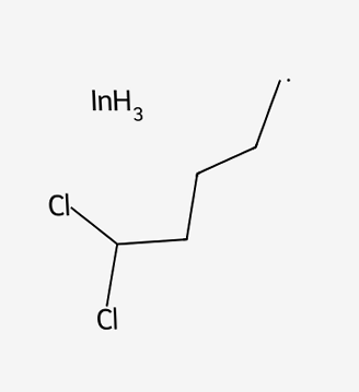 [CH2]CCCC(Cl)Cl.[InH3]